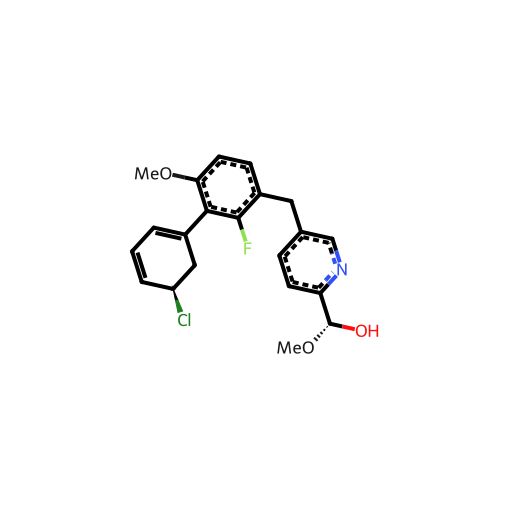 COc1ccc(Cc2ccc([C@H](O)OC)nc2)c(F)c1C1=CC=C[C@H](Cl)C1